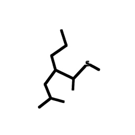 CCCC(CC(C)C)C(C)SC